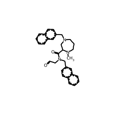 CN1CCCN(Cc2ccc3ccccc3c2)CC1C(=O)N(CC=O)Cc1ccc2ccccc2c1